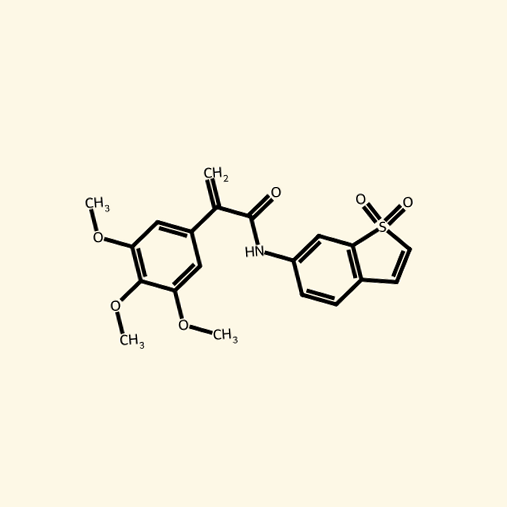 C=C(C(=O)Nc1ccc2c(c1)S(=O)(=O)C=C2)c1cc(OC)c(OC)c(OC)c1